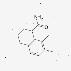 Cc1ccc2c(c1C)C(C(N)=O)CCC2